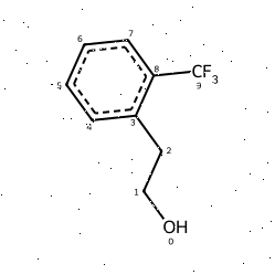 OC[CH]c1ccccc1C(F)(F)F